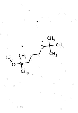 [3H]O[Si](C)(C)CCCOC(C)(C)C